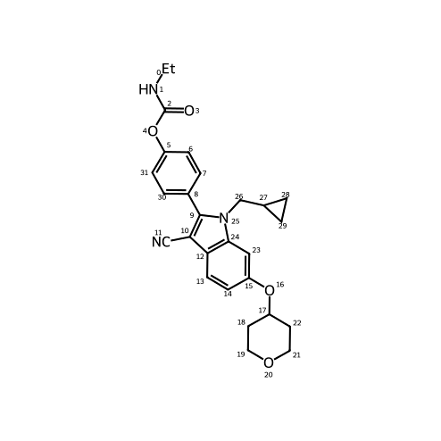 CCNC(=O)Oc1ccc(-c2c(C#N)c3ccc(OC4CCOCC4)cc3n2CC2CC2)cc1